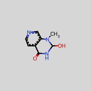 CN1c2cnccc2C(=O)NC1O